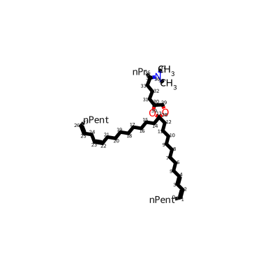 CCCCC/C=C\C=C\CCCCCCCCC1(CCCCCCCC/C=C\C/C=C\CCCCC)OCC(CCCC(CCC)N(C)C)O1